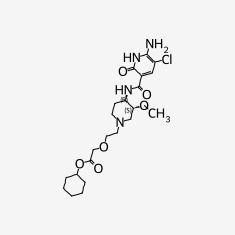 CO[C@H]1CN(CCOCC(=O)OC2CCCCC2)CC[C@H]1NC(=O)c1cc(Cl)c(N)[nH]c1=O